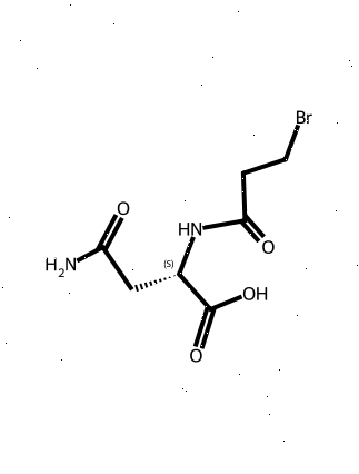 NC(=O)C[C@H](NC(=O)CCBr)C(=O)O